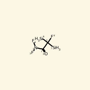 O=C(N(F)F)C(F)([SiH3])[SiH3]